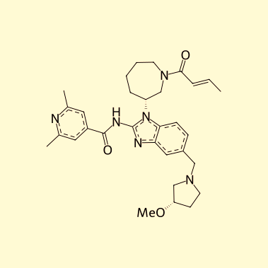 CC=CC(=O)N1CCCC[C@@H](n2c(NC(=O)c3cc(C)nc(C)c3)nc3cc(CN4CC[C@H](OC)C4)ccc32)C1